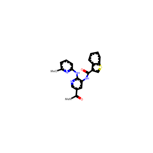 CNC(=O)c1cnc(Nc2cccc(OC)n2)c(NC(=O)c2csc3ccccc23)c1